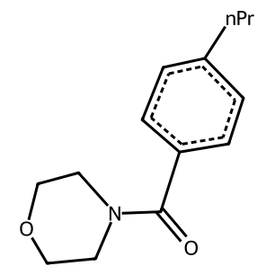 [CH2]CCc1ccc(C(=O)N2CCOCC2)cc1